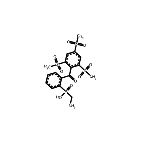 CCP(=O)(O)c1ccccc1C(=O)c1c(S(C)(=O)=O)cc(S(C)(=O)=O)cc1S(C)(=O)=O